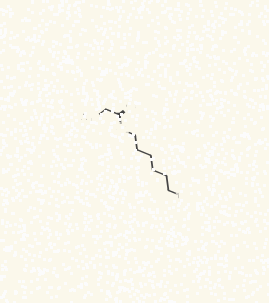 CC(=O)CC(=O)OCCCCCCCl